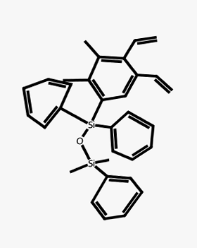 C=Cc1cc([Si](O[Si](C)(C)c2ccccc2)(c2ccccc2)c2ccccc2)c(C)c(C)c1C=C